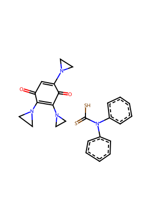 O=C1C=C(N2CC2)C(=O)C(N2CC2)=C1N1CC1.S=C(S)N(c1ccccc1)c1ccccc1